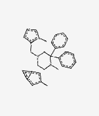 CN1CCN(Cc2cccn2C)CC1(c1ccccc1)c1ccccc1.Cc1cc2cc-2c1